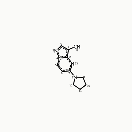 N#Cc1cnn2ccc(N3CCCC3)nc12